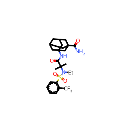 CCN(C(C)(C)C(=O)NC12CC3CC(C1)CC(C(N)=O)(C3)C2)S(=O)(=O)c1ccccc1C(F)(F)F